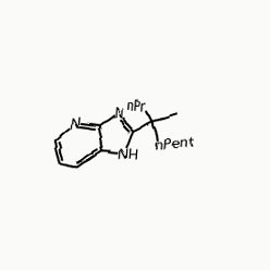 CCCCCC(C)(CCC)c1nc2ncccc2[nH]1